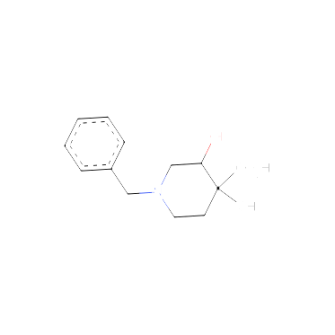 CC1(C(=O)O)CCN(Cc2ccccc2)CC1O